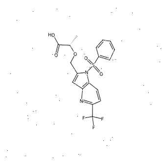 C[C@H](OCc1cc2nc(C(F)(F)F)ccc2n1S(=O)(=O)c1ccccc1)C(=O)O